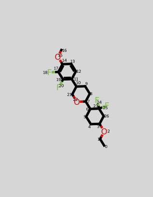 CCOC1CCC(C2CCC(c3ccc(OC)c(F)c3F)CO2)C(F)(F)C1